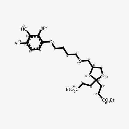 CCCc1c(OCCCCSCC2COC(CCC(=O)OCC)(CCC(=O)OCC)S2)ccc(C(C)=O)c1O